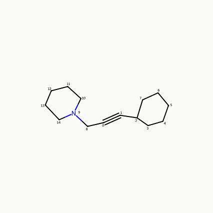 C(#CC1CCCCC1)CN1CCCCC1